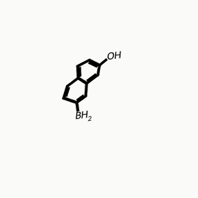 Bc1ccc2ccc(O)cc2c1